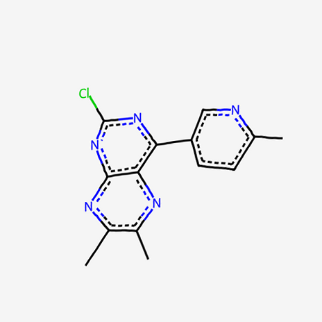 Cc1ccc(-c2nc(Cl)nc3nc(C)c(C)nc23)cn1